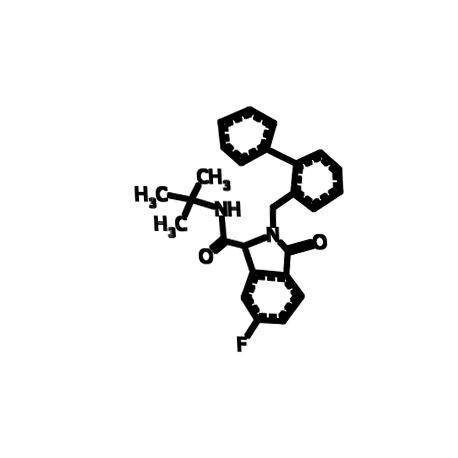 CC(C)(C)NC(=O)C1c2cc(F)ccc2C(=O)N1Cc1ccccc1-c1ccccc1